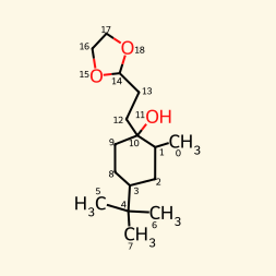 CC1CC(C(C)(C)C)CCC1(O)CCC1OCCO1